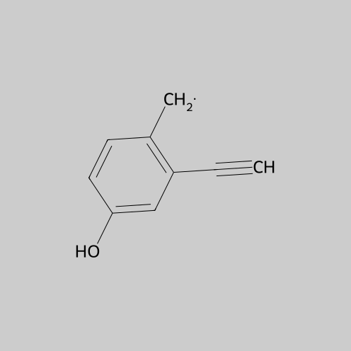 C#Cc1cc(O)ccc1[CH2]